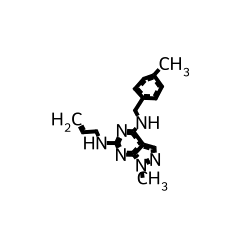 C=CCNc1nc(NCc2ccc(C)cc2)c2cnn(C)c2n1